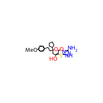 COc1ccc(CCC2(C3CCCC3)CC(O)=C(Sc3nc(N)n[nH]3)C(=O)O2)cc1